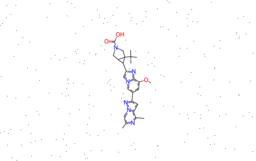 COc1cc(-c2cc3c(C)nc(C)cn3n2)cn2cc(C3C4CN(C(=O)O)CC43C(C)(C)C)nc12